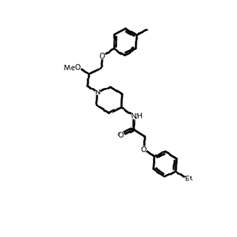 CCc1ccc(OCC(=O)NC2CCN(CC(COc3ccc(C)cc3)OC)CC2)cc1